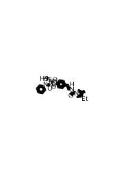 CCC1=C(C)CN(C(=O)NCCc2ccc(S(=O)(=O)N(SS)C(=O)NC3CCCCC3)cc2)C1